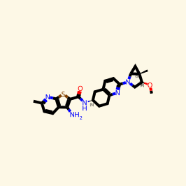 CO[C@H]1CN(c2ccc3c(n2)CC[C@H](NC(=O)c2sc4nc(C)ccc4c2N)C3)C2C[C@@]21C